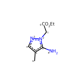 CCOC(=O)Cn1ncc(C)c1N